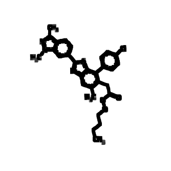 CCCCOOC(=O)Cc1c(C)cc2nc(-c3ccc4c(C)nn(C)c4c3)sc2c1-c1ccc(Cl)cc1